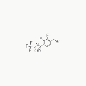 Fc1c(CBr)ccc(-c2noc(C(F)(F)F)n2)c1F